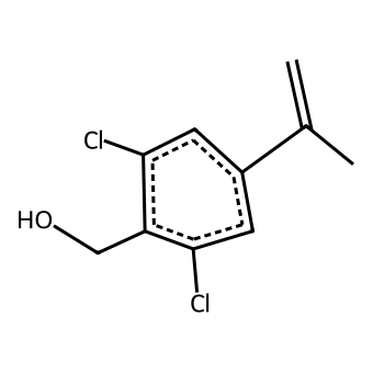 C=C(C)c1cc(Cl)c(CO)c(Cl)c1